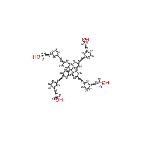 CC(C)(O)C#Cc1cccc(C#Cc2ccc(C(c3ccc(C#Cc4cccc(C#CC(C)(C)O)c4)cc3)(c3ccc(C#Cc4cccc(C#CC(C)(C)O)c4)cc3)c3ccc(C#Cc4cccc(C#CC(C)(C)O)c4)cc3)cc2)c1